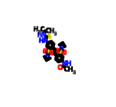 CC(=O)Nc1ccc(CCc2ccc(NC(=S)NC(C)C)cc2S(=O)(=O)N2CCC2)c(S(=O)(=O)N2CCC2)c1